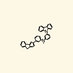 CN(c1cccc(-c2ccc3c(c2)-c2ccccc2C3)c1)c1cccc(-n2c3ccccc3c3ccccc32)c1